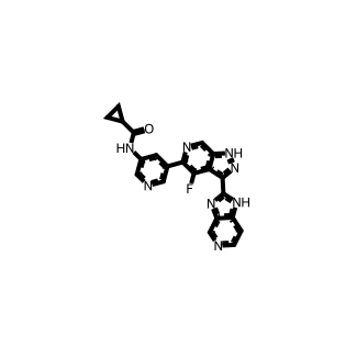 O=C(Nc1cncc(-c2ncc3[nH]nc(-c4nc5cnccc5[nH]4)c3c2F)c1)C1CC1